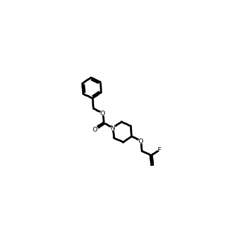 C=C(F)COC1CCN(C(=O)OCc2ccccc2)CC1